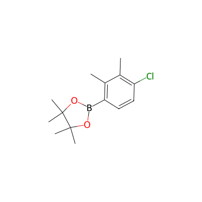 Cc1c(Cl)ccc(B2OC(C)(C)C(C)(C)O2)c1C